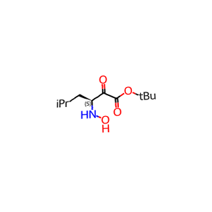 CC(C)C[C@H](NO)C(=O)C(=O)OC(C)(C)C